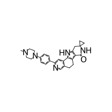 CN1CCN(c2ccc(-c3cc4c(cn3)CCc3c-4[nH]c4c3C(=O)NC3(CC3)C4)cc2)CC1